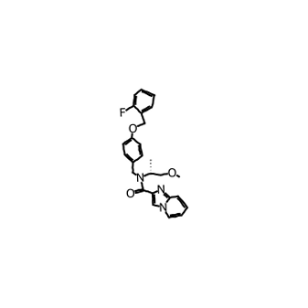 COC[C@@H](C)N(Cc1ccc(OCc2ccccc2F)cc1)C(=O)c1cn2ccccc2n1